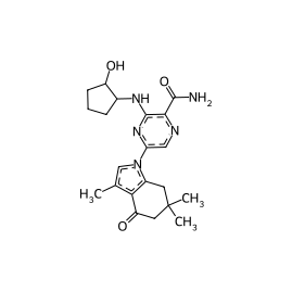 Cc1cn(-c2cnc(C(N)=O)c(NC3CCCC3O)n2)c2c1C(=O)CC(C)(C)C2